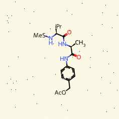 CSN[C@H](C(=O)N[C@@H](C)C(=O)Nc1ccc(COC(C)=O)cc1)C(C)C